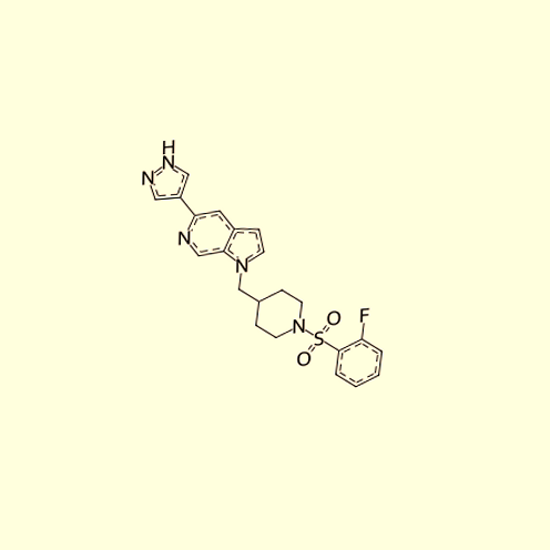 O=S(=O)(c1ccccc1F)N1CCC(Cn2ccc3cc(-c4cn[nH]c4)ncc32)CC1